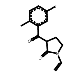 C=CN1CCC(C(=O)c2cc(I)ccc2C)C1=O